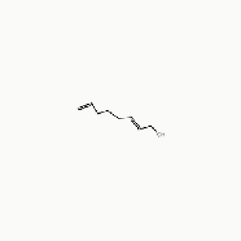 C=CCCCC=CCO